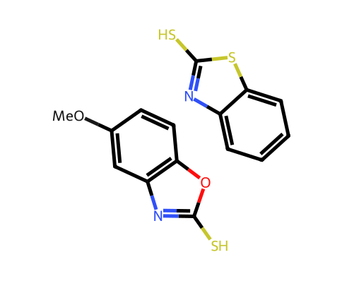 COc1ccc2oc(S)nc2c1.Sc1nc2ccccc2s1